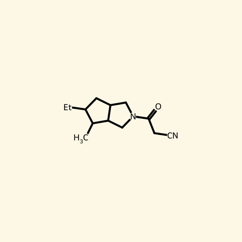 CCC1CC2CN(C(=O)CC#N)CC2C1C